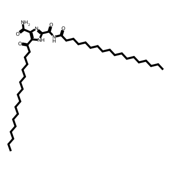 CCCCCCCCCCCCCCCCCC(=O)NC(=O)c1nc(C(N)=O)c(C(=O)CCCCCCCCCCCCCCCCC)[nH]1